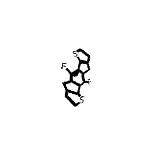 Fc1c2c(c(F)c3c1-c1sccc1C3)-c1sccc1C2